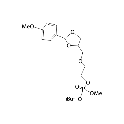 CCC(C)OP(=O)(OC)OCCOCC1COC(c2ccc(OC)cc2)O1